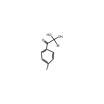 O=C(c1ccc(F)cc1)C(O)(O)Br